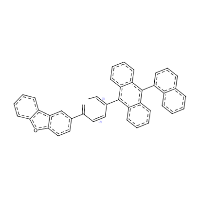 C=C(/C=C\C(=C/C)c1c2ccccc2c(-c2cccc3ccccc23)c2ccccc12)c1ccc2oc3ccccc3c2c1